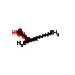 CCCCCCCCCCCCCCCCC(CCC)OCCOCCOP(=O)(O)O